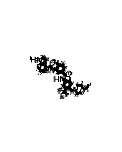 CCN1CCN(Cc2ccc(NC(=O)c3ccc(C)c(NC(=O)c4ccnc5[nH]ccc45)c3)cc2C(F)(F)F)CC1